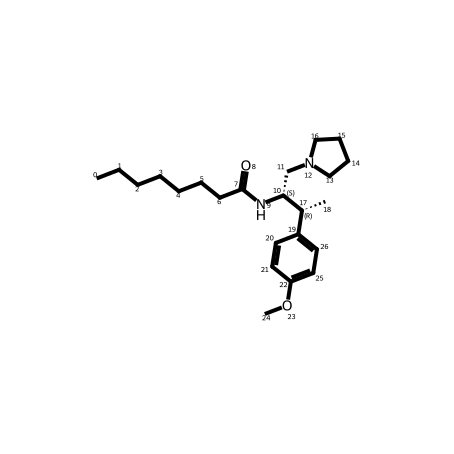 CCCCCCCC(=O)N[C@H](CN1CCCC1)[C@H](C)c1ccc(OC)cc1